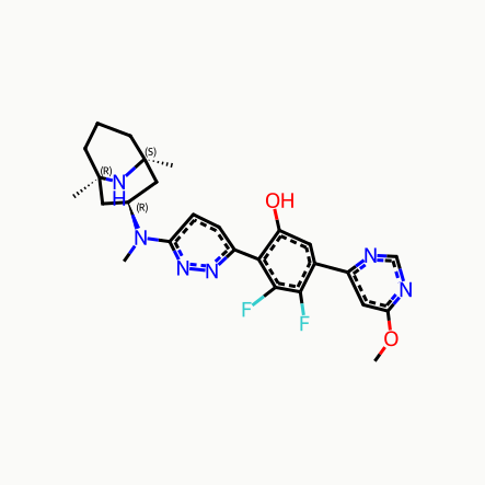 COc1cc(-c2cc(O)c(-c3ccc(N(C)[C@@H]4C[C@]5(C)CCC[C@](C)(C4)N5)nn3)c(F)c2F)ncn1